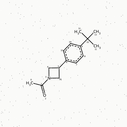 CC(=O)N1CC(c2ccc(C(C)(C)C)cc2)C1